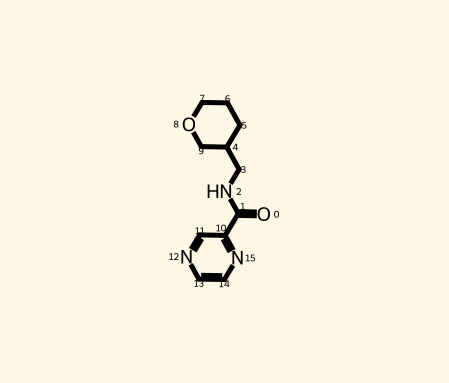 O=C(NCC1CCCOC1)c1cnccn1